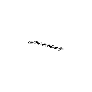 CCOCCOCCOCCOCCC=O